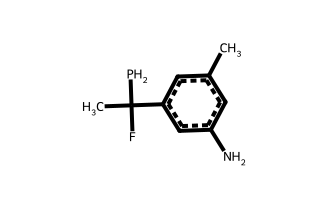 Cc1cc(N)cc(C(C)(F)P)c1